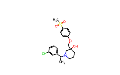 CC(c1cccc(Cl)c1)N1CCCC(O)(COc2ccc(S(C)(=O)=O)cc2)C1